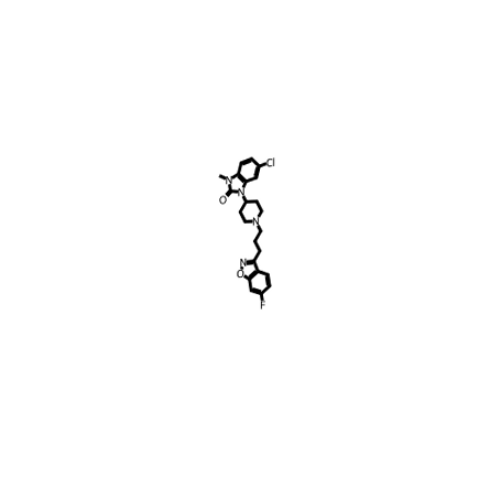 Cn1c(=O)n(C2CCN(CCCc3noc4cc(F)ccc34)CC2)c2cc(Cl)ccc21